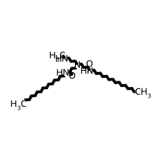 CCCCCCCCCCCCCCCNC(=O)CCN(CCCNC)CCC(=O)NCCCCCCCCCCCCCCC